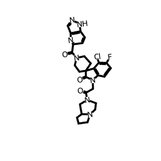 O=C(CN1C(=O)C2(CCN(C(=O)c3ccc4[nH]ncc4n3)CC2)c2c1ccc(F)c2Cl)N1CCN2CCCC2C1